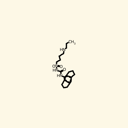 CCCNCCCCS(=O)(=O)NC(=O)Nc1c2c(cc3c1CCC3)CCC2